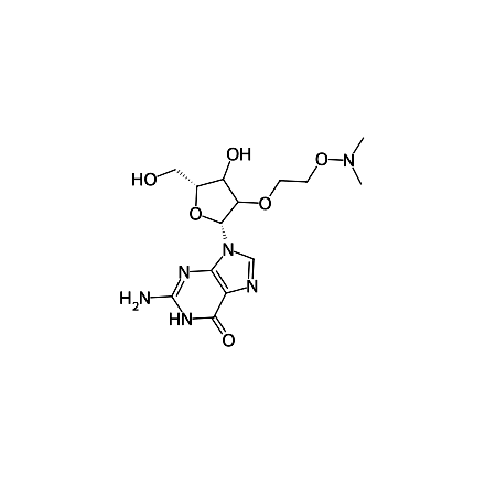 CN(C)OCCOC1C(O)[C@@H](CO)O[C@H]1n1cnc2c(=O)[nH]c(N)nc21